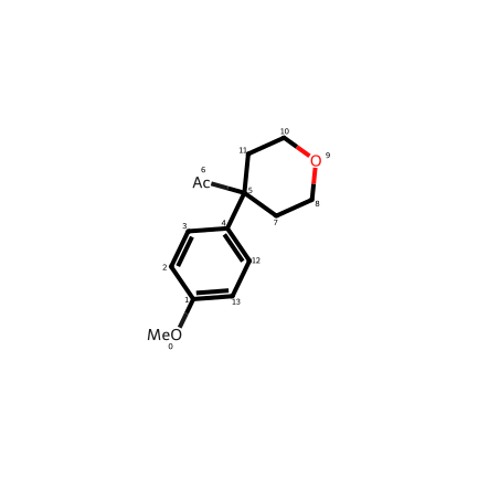 COc1ccc(C2(C(C)=O)CCOCC2)cc1